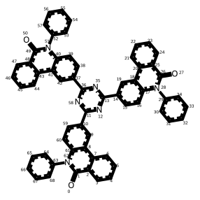 O=c1c2ccccc2c2cc(-c3nc(-c4ccc5c(c4)c4ccccc4c(=O)n5-c4ccccc4)nc(-c4ccc5c(c4)c4ccccc4c(=O)n5-c4ccccc4)n3)ccc2n1-c1ccccc1